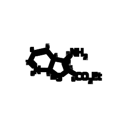 CCOC(=O)C1=C(N)C2C=CC=NC2S1